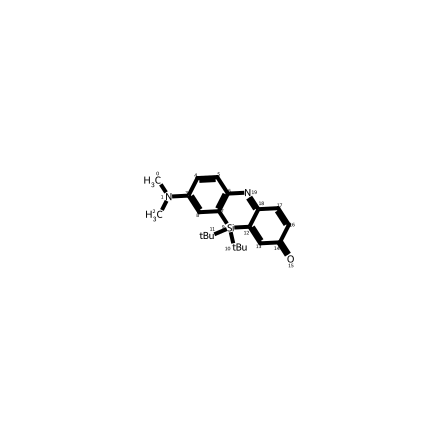 CN(C)c1ccc2c(c1)[Si](C(C)(C)C)(C(C)(C)C)C1=CC(=O)C=CC1=N2